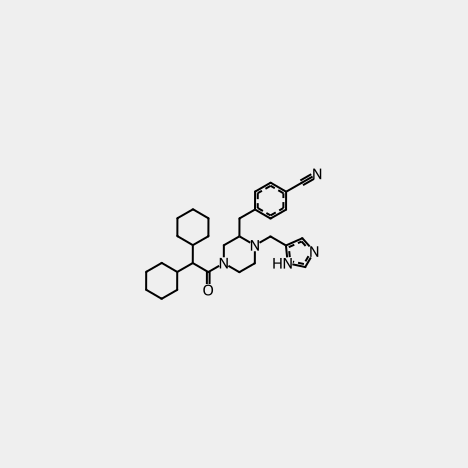 N#Cc1ccc(CC2CN(C(=O)C(C3CCCCC3)C3CCCCC3)CCN2Cc2cnc[nH]2)cc1